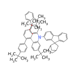 CC(C)(C)c1ccc(-c2ccc(C(C)(C)C)cc2-c2ccc(C(C)(C)C)cc2N(c2ccc3c(c2)C(C)(C)c2ccccc2-3)c2ccc3c(c2)C2(CC4CCC2C4)c2ccccc2-3)cc1